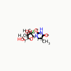 Cc1cn([C@@H]2O[C@H](CO)[C@@](C)(O)[C@@]2(C)F)c(=O)[nH]c1=O